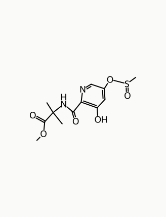 COC(=O)C(C)(C)NC(=O)c1ncc(OS(C)=O)cc1O